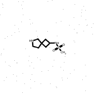 CS(=O)(=O)NC1CC2(CCNC2)C1